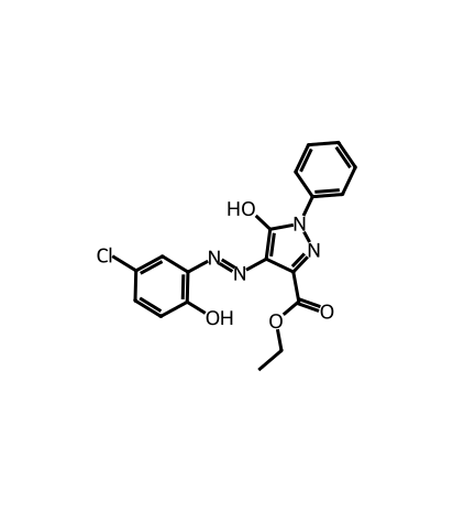 CCOC(=O)c1nn(-c2ccccc2)c(O)c1N=Nc1cc(Cl)ccc1O